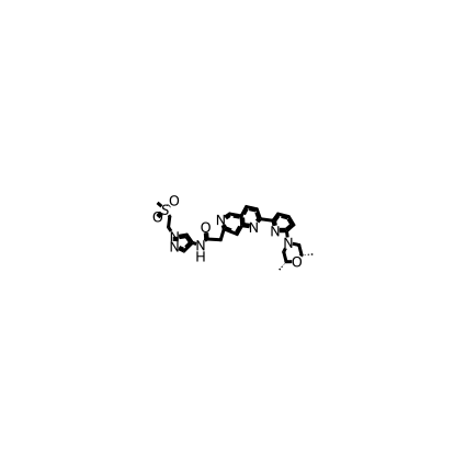 C[C@@H]1CN(c2cccc(-c3ccc4cnc(CC(=O)Nc5cnn(CCS(C)(=O)=O)c5)cc4n3)n2)C[C@H](C)O1